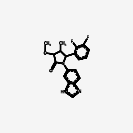 COC1C(=O)N(c2ccc3nc[nH]c3c2)C(c2cccc(F)c2F)C1C